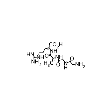 C[C@H](NC(=O)CNC(=O)CN)C(=O)N[C@@H](CCCNC(=N)N)C(=O)O